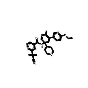 CCOc1ccc(C2=C(C)N=CC(NC(=O)c3cnnc(C(C)(C)C#N)c3)(C3CCOCC3)C2)cn1